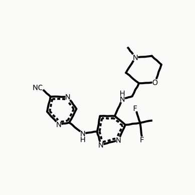 CN1CCOC(CNc2cc(Nc3cnc(C#N)cn3)nnc2C(C)(F)F)C1